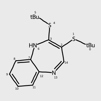 CC(C)(C)SC1=C(SC(C)(C)C)Nc2ccccc2N=C1